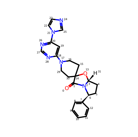 O=C1N2[C@@H](CC[C@H]2c2ccccc2)OC12CCN(c1cc(-n3ccnc3)ncn1)CC2